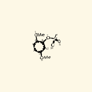 COc1ccc(OC)c(OS(C)(=O)=O)c1